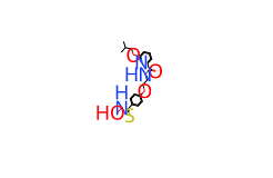 CC(C)COc1cccc(C(=O)NCCOc2ccc(C(=S)NO)cc2)n1